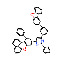 c1ccc(-c2nc(-c3cccc(-c4ccc5oc6ccccc6c5c4)c3)cc(-c3cc4c(c(-c5ccccc5)c3)-c3cccc5cccc(c35)O4)n2)cc1